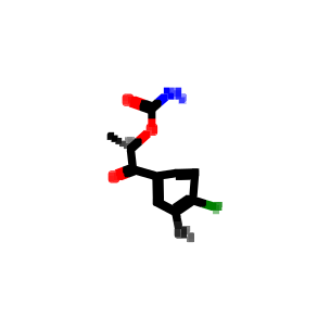 C[C@H](OC(N)=O)C(=O)c1ccc(F)c(C(F)(F)F)c1